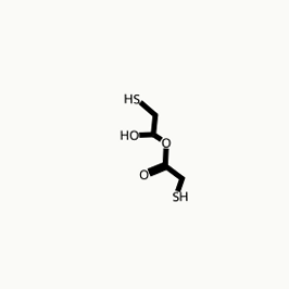 O=C(CS)OC(O)CS